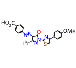 COc1ccc(-c2csc(N3N=C(C(C)C)C(/N=N/c4ccc(C(=O)O)cc4)C3=O)n2)cc1